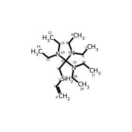 C=C[SiH2]CC(N(CC)CC)(N(CC)CC)N(CC)CC